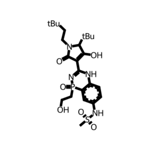 CC(C)(C)CCN1C(=O)C(C2=NP(=O)(CCO)c3cc(NS(C)(=O)=O)ccc3N2)=C(O)C1C(C)(C)C